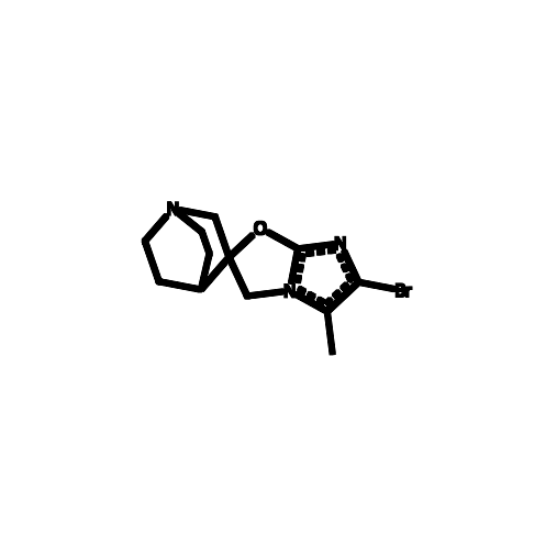 Cc1c(Br)nc2n1CC1(CN3CCC1CC3)O2